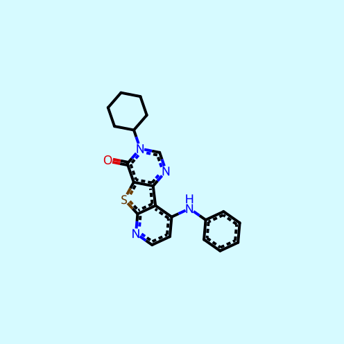 O=c1c2sc3nccc(Nc4ccccc4)c3c2ncn1C1CCCCC1